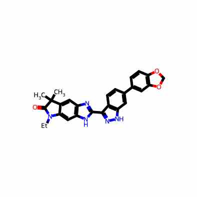 CCN1C(=O)C(C)(C)c2cc3nc(-c4n[nH]c5cc(-c6ccc7c(c6)OCO7)ccc45)[nH]c3cc21